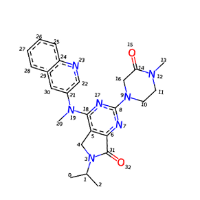 CC(C)N1Cc2c(nc(N3CCN(C)C(=O)C3)nc2N(C)c2cnc3ccccc3c2)C1=O